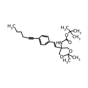 CCCCC#Cc1ccc(/C=C/C2(NC(=O)OC(C)(C)C)COC(C)(C)OC2)cc1